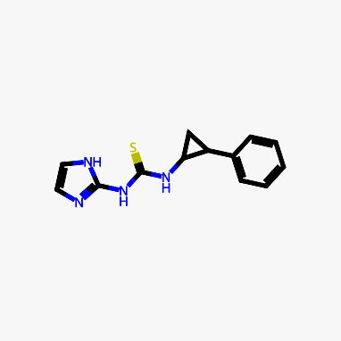 S=C(Nc1ncc[nH]1)NC1CC1c1ccccc1